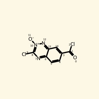 O=C(Cl)c1ccc2nc(Cl)[n+]([O-])nc2c1